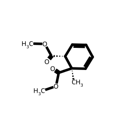 COC(=O)[C@@H]1C=CC=C[C@@]1(C)C(=O)OC